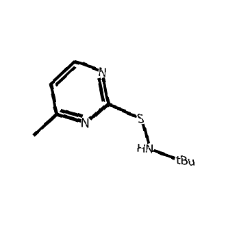 Cc1ccnc(SNC(C)(C)C)n1